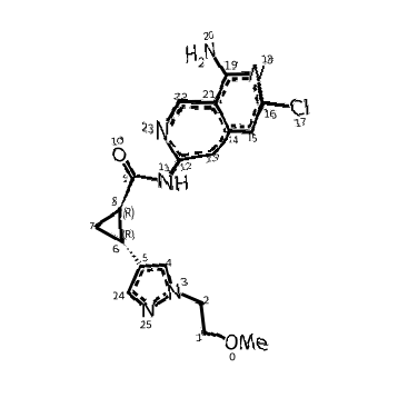 COCCn1cc([C@@H]2C[C@H]2C(=O)Nc2cc3cc(Cl)nc(N)c3cn2)cn1